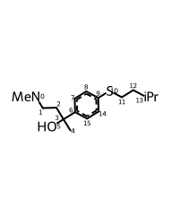 CNCCC(C)(O)c1ccc(SCCC(C)C)cc1